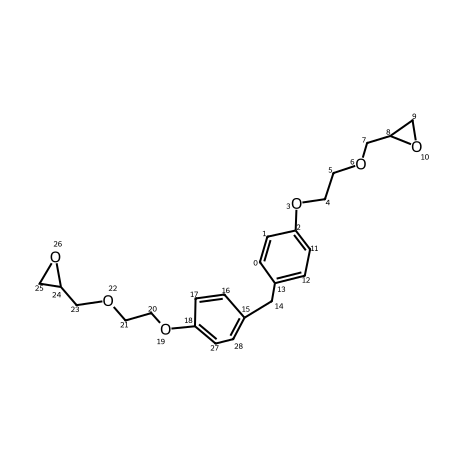 c1cc(OCCOCC2CO2)ccc1Cc1ccc(OCCOCC2CO2)cc1